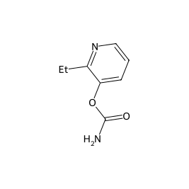 CCc1ncccc1OC(N)=O